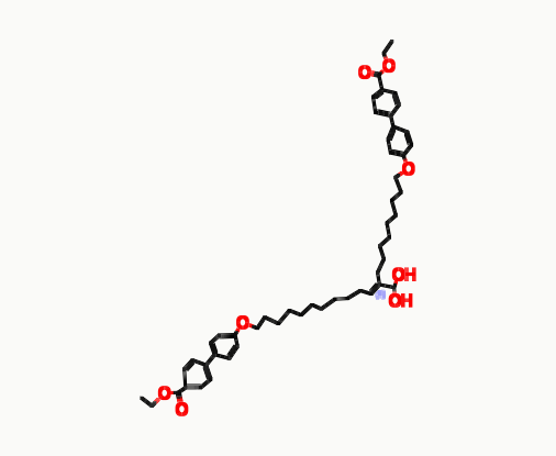 CCOC(=O)c1ccc(-c2ccc(OCCCCCCCCCC/C=C(\CCCCCCCCCOc3ccc(-c4ccc(C(=O)OCC)cc4)cc3)C(O)O)cc2)cc1